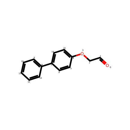 O=[C]COc1ccc(-c2ccccc2)cc1